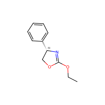 CCOC1=N[C@@H](c2ccccc2)CO1